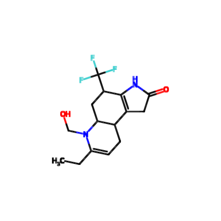 CCC1=CCC2C3=C(NC(=O)C3)C(C(F)(F)F)CC2N1CO